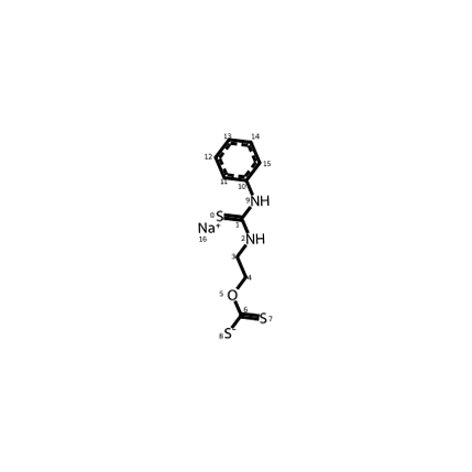 S=C(NCCOC(=S)[S-])Nc1ccccc1.[Na+]